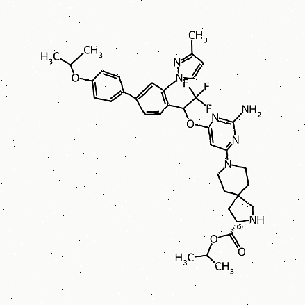 Cc1ccn(-c2cc(-c3ccc(OC(C)C)cc3)ccc2C(Oc2cc(N3CCC4(CC3)CN[C@H](C(=O)OC(C)C)C4)nc(N)n2)C(F)(F)F)n1